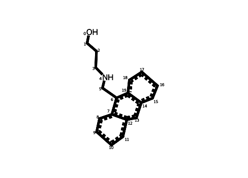 OCCCNCc1c2ccccc2cc2ccccc12